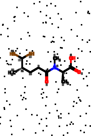 C[C@H](C(=O)O)N(C)C(=O)CC[C@H](C)C(S)S